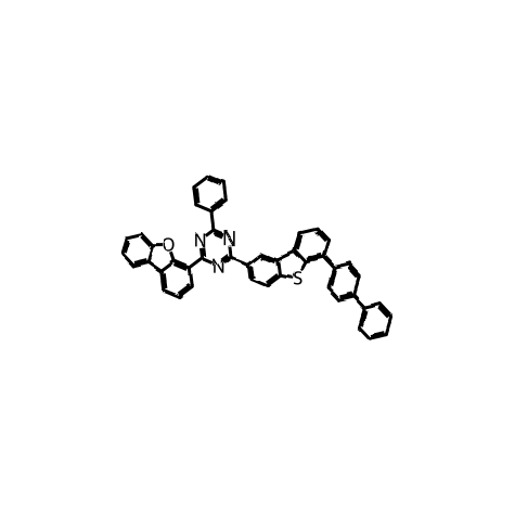 c1ccc(-c2ccc(-c3cccc4c3sc3ccc(-c5nc(-c6ccccc6)nc(-c6cccc7c6oc6ccccc67)n5)cc34)cc2)cc1